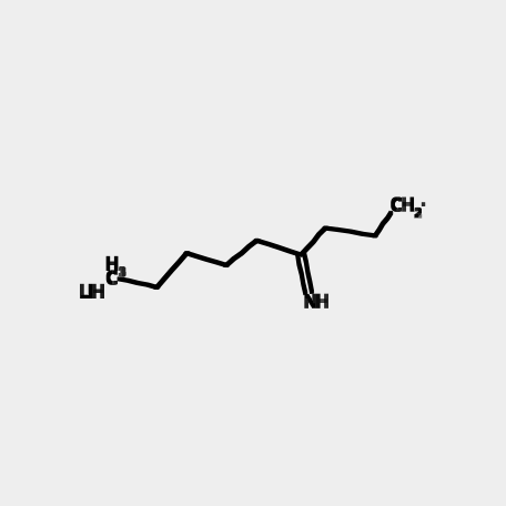 [CH2]CCC(=N)CCCCC.[LiH]